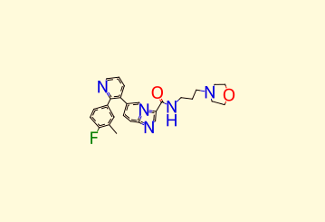 Cc1cc(-c2ncccc2-c2ccc3ncc(C(=O)NCCCN4CCOCC4)n3c2)ccc1F